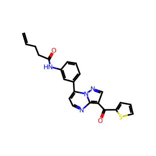 C=CCCC(=O)Nc1cccc(-c2ccnc3c(C(=O)c4cccs4)cnn23)c1